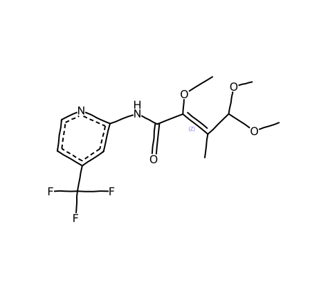 CO/C(C(=O)Nc1cc(C(F)(F)F)ccn1)=C(/C)C(OC)OC